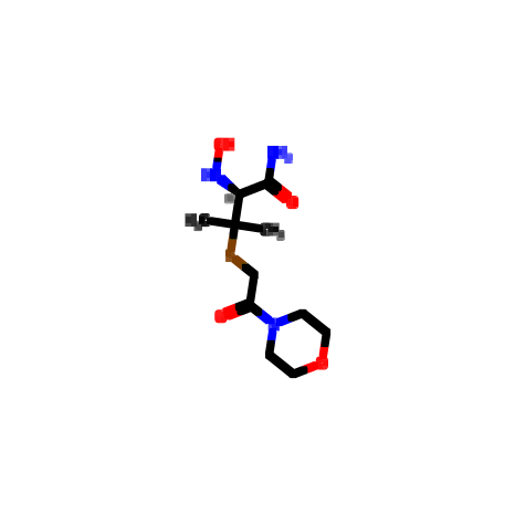 CC(C)(SCC(=O)N1CCOCC1)[C@@H](NO)C(N)=O